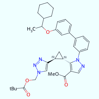 COC(=O)c1cnn(-c2cccc(-c3cccc(OC(C)C4CCCCC4)c3)c2)c1[C@H]1C[C@@H]1c1cn(COC(=O)C(C)(C)C)nn1